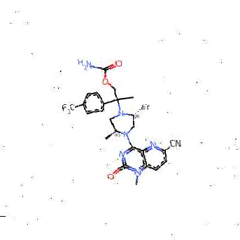 CC[C@@H]1CN(c2nc(=O)n(C)c3ccc(C#N)nc23)[C@@H](C)CN1C(C)(COC(N)=O)c1ccc(C(F)(F)F)cc1